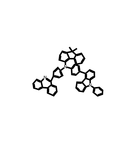 CC1(C)c2ccccc2-c2c(N(c3ccc(-c4nc5ccccc5c5ccccc45)cc3)c3ccc(-c4cccc5c4c4ccccc4n5-c4ccccc4)cc3)cccc21